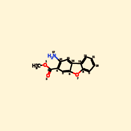 COC(=O)c1cc2oc3ccccc3c2cc1N